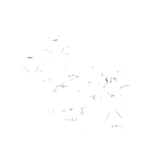 CNC(=O)[C@H](Cc1ccccc1)NC(=O)[C@H](CC(C)C)NC(CCN(C(=O)OCc1ccccc1)C(=O)OCc1ccccc1)C(=O)OC(C)(C)C